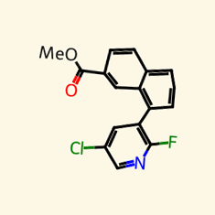 COC(=O)c1ccc2cccc(-c3cc(Cl)cnc3F)c2c1